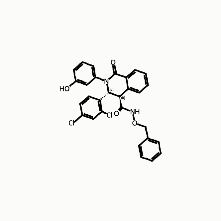 O=C(NOCc1ccccc1)[C@@H]1c2ccccc2C(=O)N(c2cccc(O)c2)[C@H]1c1ccc(Cl)cc1Cl